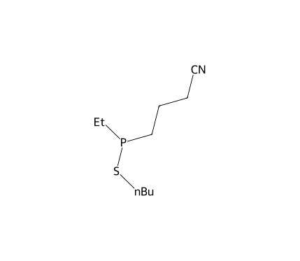 CCCCSP(CC)CCCC#N